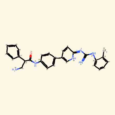 N=C(/N=c1/ccc(-c2ccc(NC(=O)C(CN)c3ccccc3)cc2)c[nH]1)Nc1ccccc1C(F)(F)F